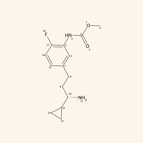 COC(=O)Nc1cc(CC[C@H](N)C2CC2)ccc1F